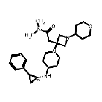 CN(C)C(=O)CC1(N2CCC(N[C@@H]3CC3c3ccccc3)CC2)CN(C2CCOCC2)C1